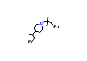 CC(C)CC(C)C1CCN(CC(C)(C)CC(C)(C)C)CC1